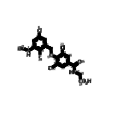 CCC(C)Nc1cc(Cl)cc(COc2c(Cl)cc(C(=O)NCC(=O)O)cc2Cl)c1F